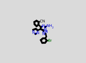 N#Cc1ccccc1-c1nc(N)n2nc(Cc3ccccc3Br)nc2c1-c1ccncn1